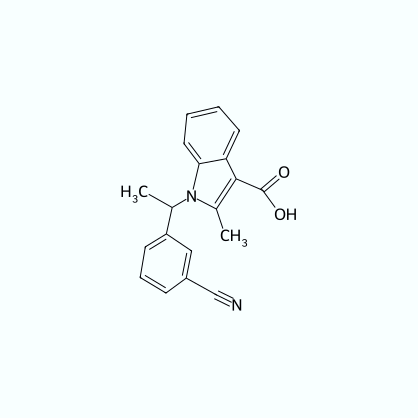 Cc1c(C(=O)O)c2ccccc2n1C(C)c1cccc(C#N)c1